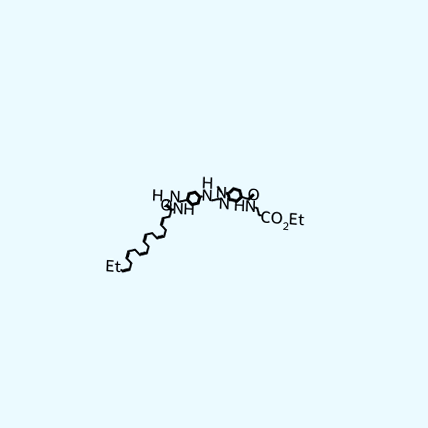 CC/C=C\C/C=C\C/C=C\C/C=C\C/C=C\C/C=C\CC(=O)NC(N)c1ccc(NCc2nc3cc(C(=O)NCCC(=O)OCC)ccc3n2C)cc1